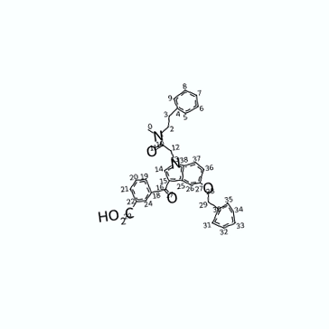 CN(CCc1ccccc1)C(=O)Cn1cc(C(=O)c2cccc(C(=O)O)c2)c2cc(OCc3ccccc3)ccc21